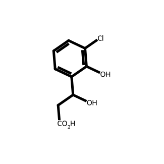 O=C(O)CC(O)c1cccc(Cl)c1O